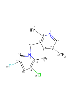 CC(C)c1ncc(C(F)(F)F)cc1C[n+]1cc(F)cc(Cl)c1C(C)C